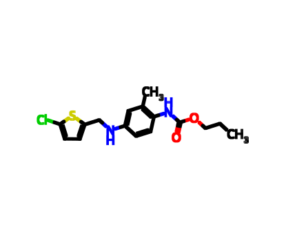 CCCOC(=O)Nc1ccc(NCc2ccc(Cl)s2)cc1C